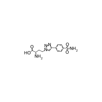 N[C@H](CCn1cc(-c2ccc(S(N)(=O)=O)cc2)nn1)C(=O)O